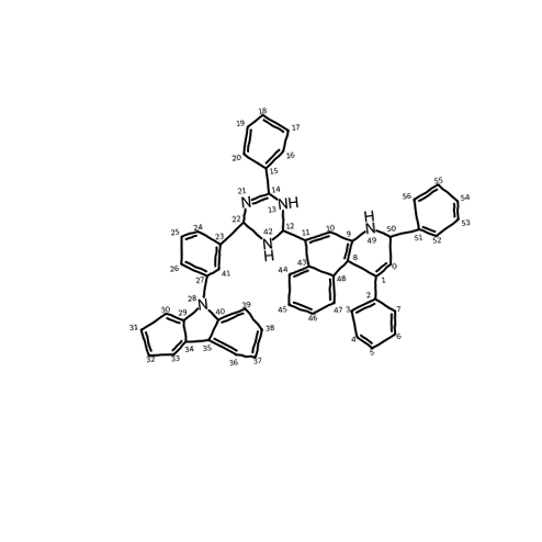 C1=C(c2ccccc2)c2c(cc(C3NC(c4ccccc4)=NC(c4cccc(-n5c6ccccc6c6ccccc65)c4)N3)c3ccccc23)NC1c1ccccc1